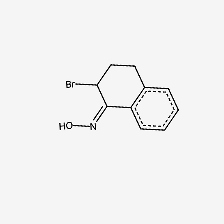 ON=C1c2ccccc2CCC1Br